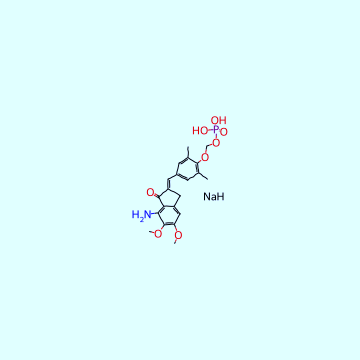 COc1cc2c(c(N)c1OC)C(=O)C(=Cc1cc(C)c(OCOP(=O)(O)O)c(C)c1)C2.[NaH]